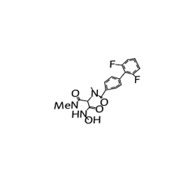 CNC(=O)C(C(=O)NO)N(C)C(=O)c1ccc(-c2c(F)cccc2F)cc1